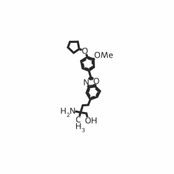 COc1cc(-c2nc3cc(CCC(C)(N)CO)ccc3o2)ccc1OC1CCCC1